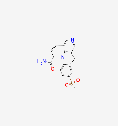 CC(c1cccc(S(C)(=O)=O)c1)c1cncc2ccc(C(N)=O)nc12